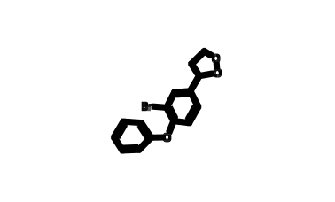 Brc1cc(C2CCOO2)ccc1Oc1ccccc1